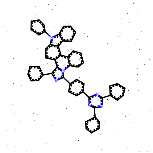 c1ccc(-c2nc(-c3ccccc3)nc(-c3ccc(-c4nc(-c5ccccc5)c5c6ccc7c(c8ccccc8n7-c7ccccc7)c6c6ccccc6n45)cc3)n2)cc1